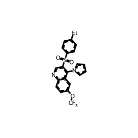 CCc1ccc(S(=O)(=O)c2cnc3ccc(OC(F)(F)F)cc3c2-n2cccc2)cc1